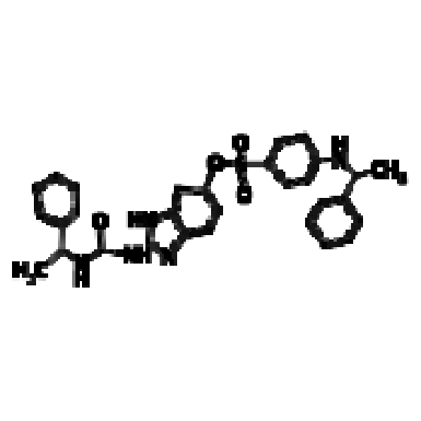 CC(NC(=O)Nc1nc2ccc(OS(=O)(=O)c3ccc(NC(C)c4ccccc4)cc3)cc2[nH]1)c1ccccc1